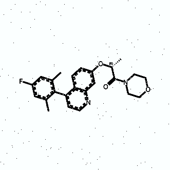 Cc1cc(F)cc(C)c1-c1ccnc2cc(O[C@H](C)C(=O)N3CCOCC3)ccc12